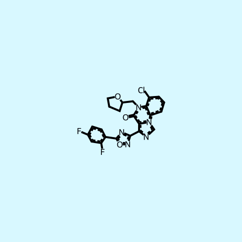 O=c1c2c(-c3noc(-c4ccc(F)cc4F)n3)ncn2c2cccc(Cl)c2n1CC1CCCO1